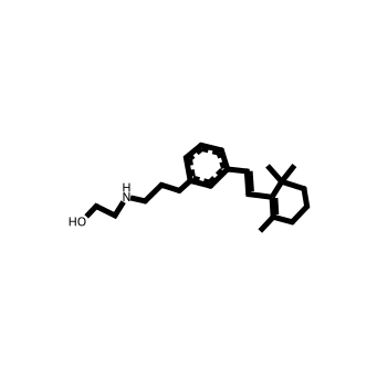 CC1=C(C=Cc2cccc(CCCNCCO)c2)C(C)(C)CCC1